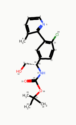 Cc1cccnc1-c1cc([C@@H](CO)NC(=O)OC(C)(C)C)ccc1Cl